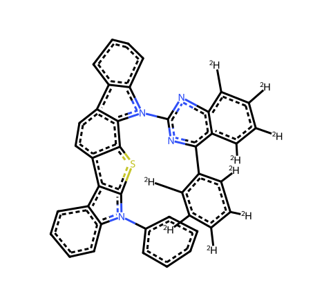 [2H]c1c([2H])c([2H])c(-c2nc(-n3c4ccccc4c4ccc5c(sc6c5c5ccccc5n6-c5ccccc5)c43)nc3c([2H])c([2H])c([2H])c([2H])c23)c([2H])c1[2H]